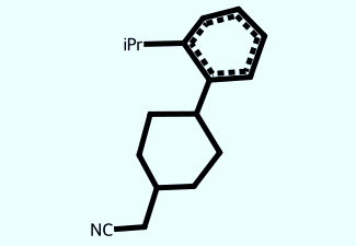 CC(C)c1ccccc1C1CCC(CC#N)CC1